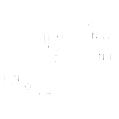 Nc1ccc(S(=O)(=O)Nc2ccc(N)c(S(=O)(=O)O)c2)cc1[N+](=O)[O-]